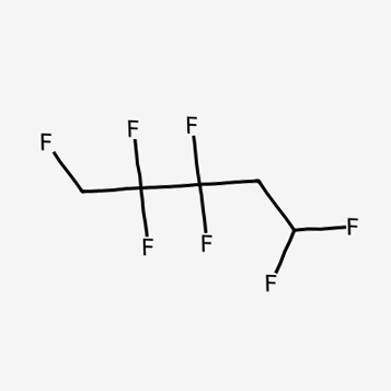 FCC(F)(F)C(F)(F)CC(F)F